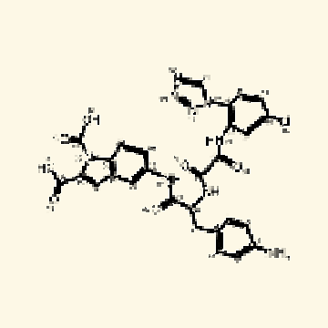 Nc1ccc(CC(NC(=O)C(=O)Nc2cc(Cl)ccc2-n2cnnn2)C(=O)Nc2ccc3c(c2)cc(C(=O)O)n3C(=O)O)cc1